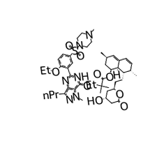 CCC(C)(C)C(=O)O[C@H]1C[C@@H](C)C=C2C=C[C@H](C)[C@H](CC[C@@H]3C[C@@H](O)CC(=O)O3)[C@H]21.CCCc1nn(C)c2c(=O)[nH]c(-c3cc(S(=O)(=O)N4CCN(C)CC4)ccc3OCC)nc12